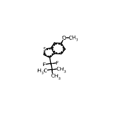 COc1ccc2c(C(F)(F)C(C)(C)C)csc2c1